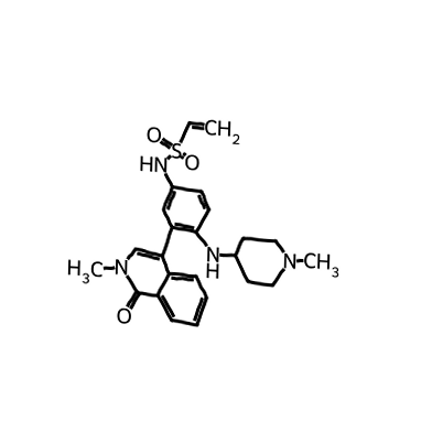 C=CS(=O)(=O)Nc1ccc(NC2CCN(C)CC2)c(-c2cn(C)c(=O)c3ccccc23)c1